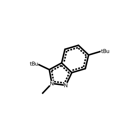 Cn1nc2cc(C(C)(C)C)ccc2c1C(C)(C)C